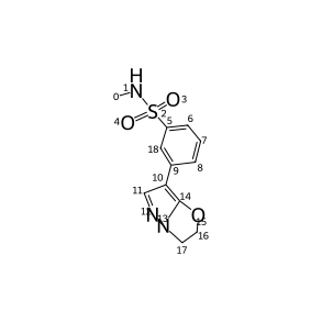 CNS(=O)(=O)c1cccc(-c2cnn3c2OCC3)c1